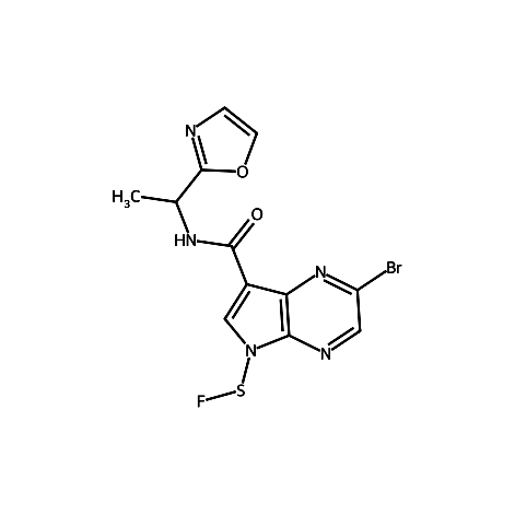 CC(NC(=O)c1cn(SF)c2ncc(Br)nc12)c1ncco1